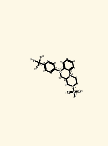 CS(=O)(=O)N1CCN2c3ccccc3N(c3ccc(C(F)(F)F)cc3)CC2C1